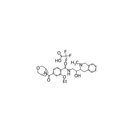 CCOc1cc(C(=O)N2C3CCC2COC3)ccc1C(=O)NCC(O)C1Cc2ccccc2CN1C.O=C(O)C(F)(F)F